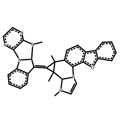 CN1C=CN2c3c(ccc4c3oc3ccccc34)C3(C)/C(=C4/c5ccccc5N5c6nccnc6N(C)C45)C3(C)C12